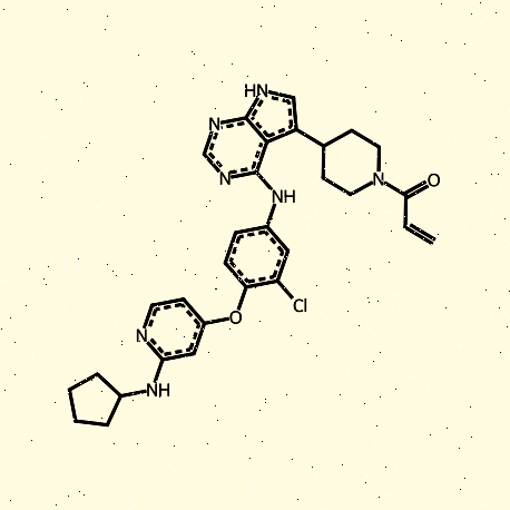 C=CC(=O)N1CCC(c2c[nH]c3ncnc(Nc4ccc(Oc5ccnc(NC6CCCC6)c5)c(Cl)c4)c23)CC1